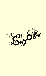 CC(C)Cn1cc(-n2cc(-c3ccc(NS(=O)(=O)C4CC4)c(F)c3)cn2)ccc1=O